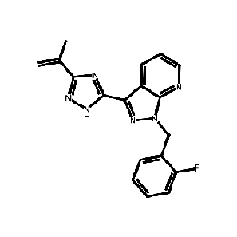 C=C(C)c1n[nH]c(-c2nn(Cc3ccccc3F)c3ncccc23)n1